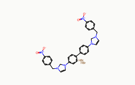 Br.Br.O=[N+]([O-])c1ccc(CN2C=CN(c3ccc(-c4ccc(N5C=CN(Cc6ccc([N+](=O)[O-])cc6)C5)cc4)cc3)C2)cc1